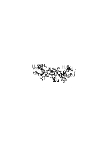 CC(C)(C)OC(=O)N1CCCC1c1nc2cc([C@H]3CC[C@H](c4cc5nc([C@@H]6CCCN6C(=O)OC(C)(C)C)n(COCC[Si](C)(C)C)c5cc4F)N3c3ccc(C(C)(C)C)cc3)c(F)cc2n1COCC[Si](C)(C)C